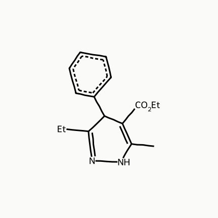 CCOC(=O)C1=C(C)NN=C(CC)C1c1ccccc1